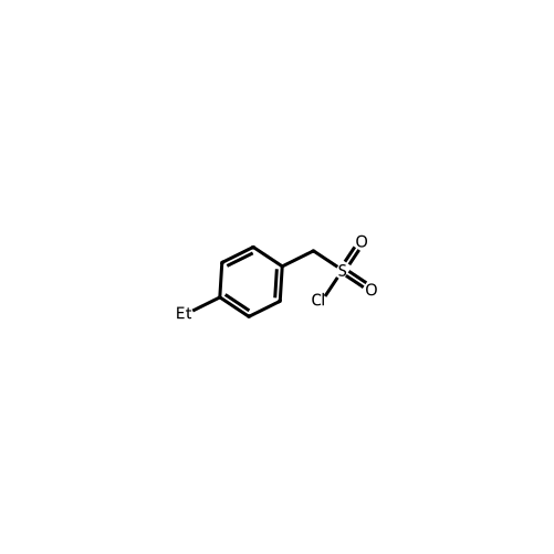 CCc1ccc(CS(=O)(=O)Cl)cc1